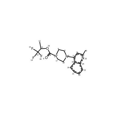 Cc1cc(N2CCN(C(=O)OC(C)C(F)(F)F)CC2)c2ccccc2n1